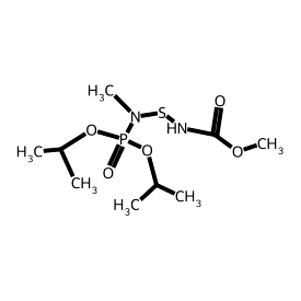 COC(=O)NSN(C)P(=O)(OC(C)C)OC(C)C